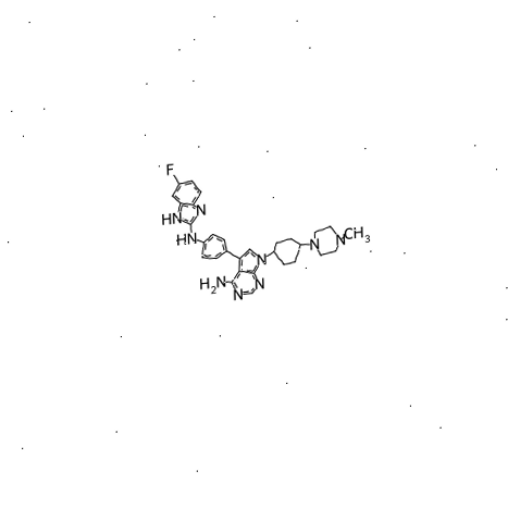 CN1CCN(C2CCC(n3cc(-c4ccc(Nc5nc6ccc(F)cc6[nH]5)cc4)c4c(N)ncnc43)CC2)CC1